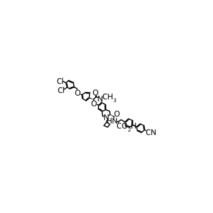 CN1C(=O)[C@H](c2ccc(OCc3ccc(Cl)c(Cl)c3)cc2)Oc2cc3c(cc21)C[C@@H](C(=O)NC(Cc1ccc(-c2ccc(C#N)cc2)cc1)C(=O)O)N(C1CCC1)C3